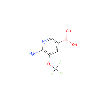 Nc1ncc(B(O)O)cc1OC(F)(F)F